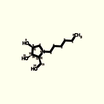 CCCCCCN1C[C@H](O)[C@@H](O)[C@@H]1CO